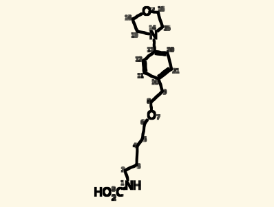 O=C(O)NCCCCCOCCc1ccc(N2CCOCC2)cc1